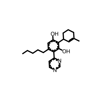 CCCCCc1cc(O)c(C2C=C(C)CCC2)c(O)c1-c1ccncn1